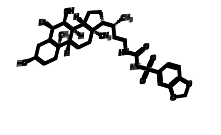 CC[C@@H]1C2C[C@H](O)CC[C@]2(C)[C@H]2CC[C@]3(C)[C@@H]([C@H](C)CCNC(=O)NS(=O)(=O)c4ccc5c(c4)OCO5)CC[C@H]3[C@@H]2[C@@H]1O